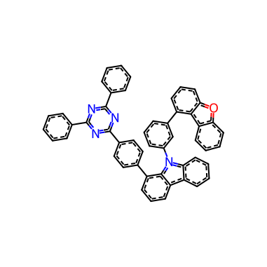 c1ccc(-c2nc(-c3ccccc3)nc(-c3ccc(-c4cccc5c6ccccc6n(-c6cccc(-c7cccc8oc9ccccc9c78)c6)c45)cc3)n2)cc1